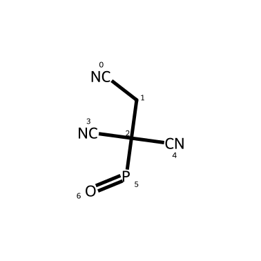 N#CCC(C#N)(C#N)P=O